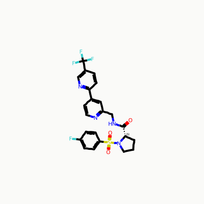 O=C(NCc1cc(-c2ccc(C(F)(F)F)cn2)ccn1)[C@@H]1CCCN1S(=O)(=O)c1ccc(F)cc1